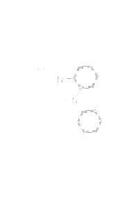 CN(C(=O)O)c1cccc(Oc2ccc(F)c(Cl)c2)c1[N+](=O)[O-]